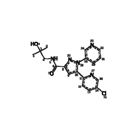 CC(C)(O)CNC(=O)c1cc(-c2ccc(Cl)cn2)n(-c2cccnc2)n1